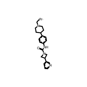 C[C](C)CN1CCC(c2ccc(NC(=O)N3CC(c4cccnc4)C3)cc2)CC1